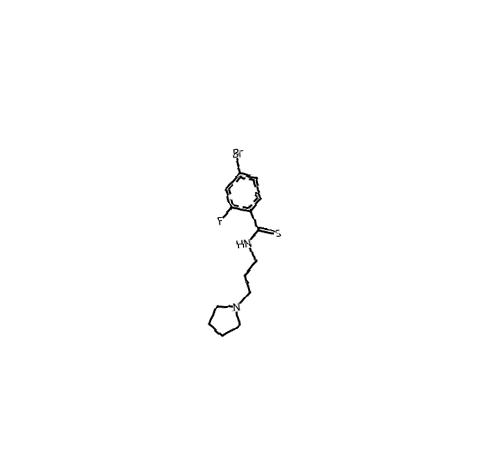 Fc1cc(Br)ccc1C(=S)NCCCN1CCCC1